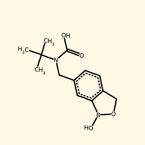 CC(C)(C)N(Cc1ccc2c(c1)B(O)OC2)C(=O)O